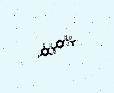 CC(C)S(=O)(=O)Nc1ccc(C(=O)Nc2c(F)cc(F)cc2F)cc1